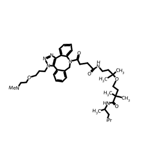 CNCCOCCCn1nnc2c1-c1ccccc1CN(C(=O)CCC(=O)NCCC(C)(C)OCCC(C)(C)C(=O)NC(C)CC(C)C)c1ccccc1-2